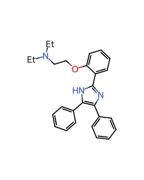 CCN(CC)CCOc1ccccc1-c1nc(-c2ccccc2)c(-c2ccccc2)[nH]1